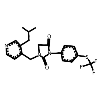 CC(C)Cc1cnccc1CN1CC(=O)N(c2ccc(SC(F)(F)F)cc2)C1=O